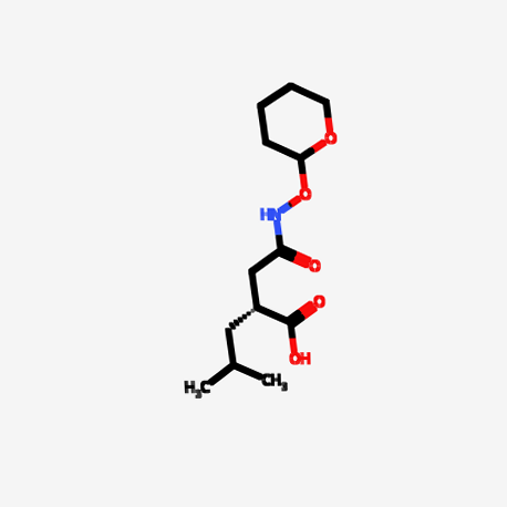 CC(C)C[C@H](CC(=O)NOC1CCCCO1)C(=O)O